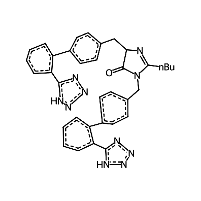 CCCCC1=NC(Cc2ccc(-c3ccccc3-c3nnn[nH]3)cc2)C(=O)N1Cc1ccc(-c2ccccc2-c2nnn[nH]2)cc1